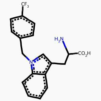 NC(Cc1cn(Cc2ccc(C(F)(F)F)cc2)c2ccccc12)C(=O)O